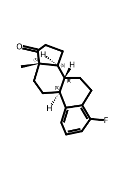 C[C@]12CC[C@@H]3c4cccc(F)c4CC[C@H]3[C@@H]1CCC2=O